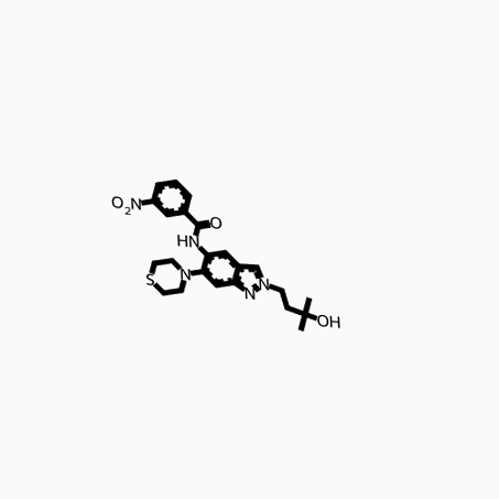 CC(C)(O)CCn1cc2cc(NC(=O)c3cccc([N+](=O)[O-])c3)c(N3CCSCC3)cc2n1